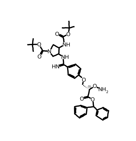 CC(C)(C)OC(=O)NC1CN(C(=O)OC(C)(C)C)CC1NC(=N)c1ccc(OC[C@H](ON)C(=O)OC(c2ccccc2)c2ccccc2)cc1